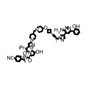 CC(C)[C@@H](C(=O)N1C[C@H](O)C[C@H]1C(=O)N[C@@H](C)c1ccc(C#N)cc1)c1cc(N2CCC(CN3CCC(O[C@H]4C[C@H](C#C[C@@H](C)n5cc(-c6cc(-c7ccccc7O)nnc6N)cn5)C4)CC3)CC2)no1